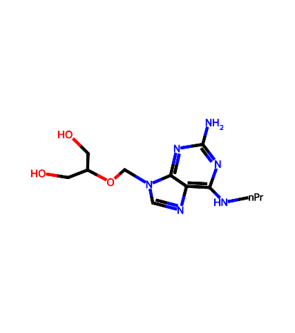 CCCNc1nc(N)nc2c1ncn2COC(CO)CO